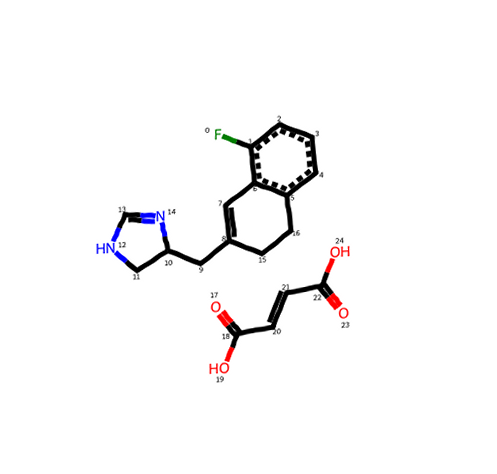 Fc1cccc2c1C=C(CC1CNC=N1)CC2.O=C(O)C=CC(=O)O